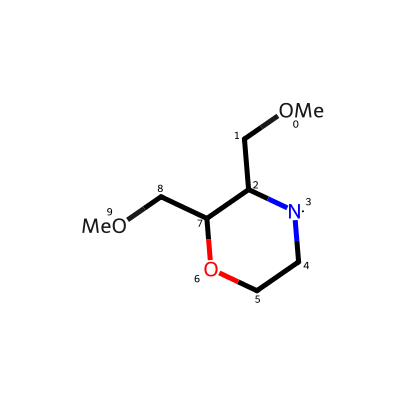 COCC1[N]CCOC1COC